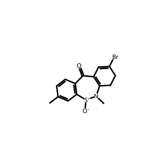 Cc1ccc2c(c1)[S+]([O-])N(C)C1=C(C=C(Br)CC1)C2=O